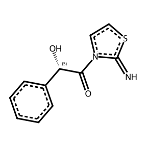 N=c1sccn1C(=O)[C@@H](O)c1ccccc1